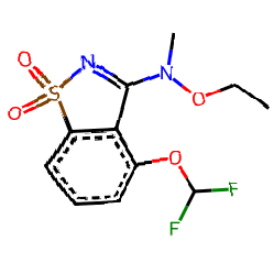 CCON(C)C1=NS(=O)(=O)c2cccc(OC(F)F)c21